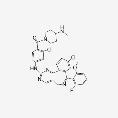 CNC1CCN(C(=O)c2ccc(Nc3ncc4c(n3)-c3ccc(Cl)cc3C(c3c(F)cccc3OC)=NC4)cc2Cl)CC1